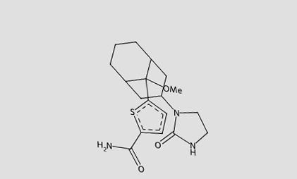 COC1(c2ccc(C(N)=O)s2)C2CCCC1CC(N1CCNC1=O)C2